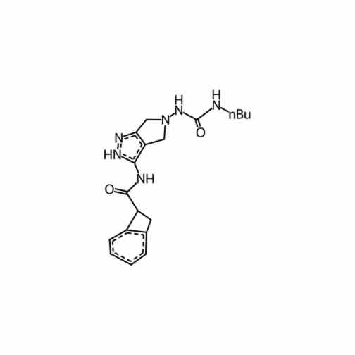 CCCCNC(=O)NN1Cc2n[nH]c(NC(=O)C3Cc4ccccc43)c2C1